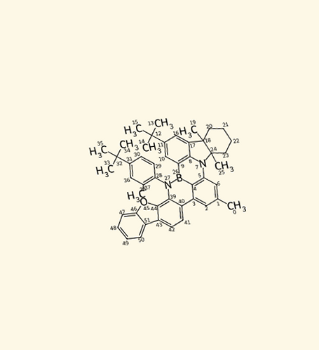 Cc1cc2c3c(c1)N1c4c(cc(C(C)(C)C)cc4C4(C)CCCCC14C)B3N(c1ccc(C(C)(C)C)cc1C)c1c-2ccc2c1oc1ccccc12